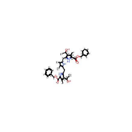 CCc1c(Cc2[nH]c(C(=O)OCc3ccccc3)c(C)c2C(O)CC)[nH]c(Cc2[nH]c(C(=O)OCc3ccccc3)c(C)c2C(O)CC)c1CC